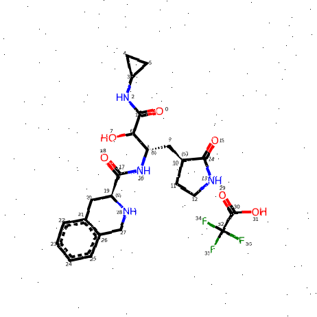 O=C(NC1CC1)C(O)[C@H](C[C@@H]1CCNC1=O)NC(=O)[C@@H]1Cc2ccccc2CN1.O=C(O)C(F)(F)F